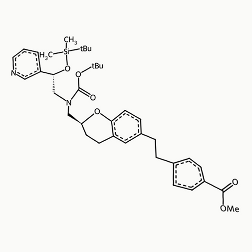 COC(=O)c1ccc(CCc2ccc3c(c2)CC[C@@H](CN(C[C@@H](O[Si](C)(C)C(C)(C)C)c2cccnc2)C(=O)OC(C)(C)C)O3)cc1